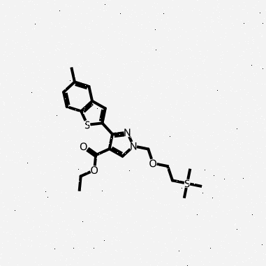 CCOC(=O)c1cn(COCCS(C)(C)C)nc1-c1cc2cc(C)ccc2s1